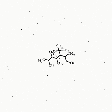 CC(O)C(O)C(C)C(C(C)CO)C(C)(C)C